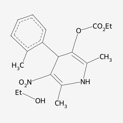 CCO.CCOC(=O)OC1=C(C)NC(C)=C([N+](=O)[O-])C1c1ccccc1C